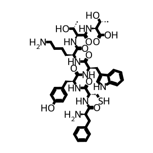 C[C@@H](O)[C@H](NC(=O)[C@@H](NC(=O)[C@H](CCCCN)NC(=O)[C@@H](Cc1c[nH]c2ccccc12)NC(=O)[C@H](Cc1ccc(O)cc1)NC(=O)[C@H](CS)NC(=O)[C@H](N)Cc1ccccc1)[C@@H](C)O)C(=O)O